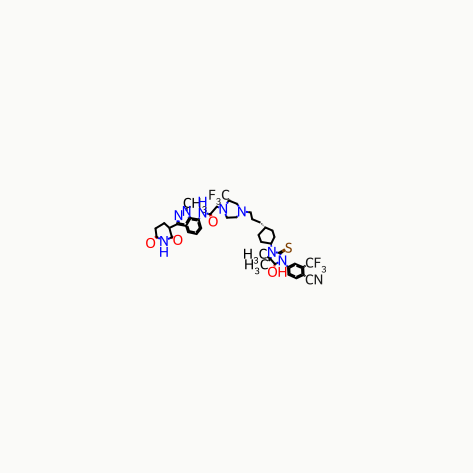 Cn1nc(C2CCC(=O)NC2=O)c2cccc(NC(=O)CN3CCN(CCC[C@H]4CC[C@H](N5C(=S)N(c6ccc(C#N)c(C(F)(F)F)c6)C(O)C5(C)C)CC4)C[C@@H]3C(F)(F)F)c21